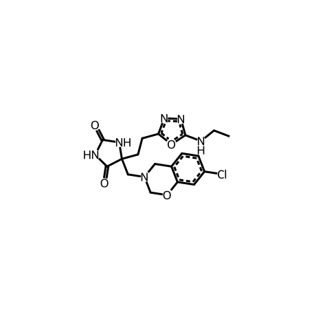 CCNc1nnc(CCC2(CN3COc4cc(Cl)ccc4C3)NC(=O)NC2=O)o1